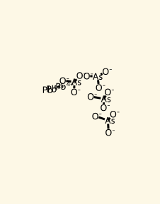 [O-][As]([O-])[O-].[O-][As]([O-])[O-].[O-][As]([O-])[O-].[O-][As]([O-])[O-].[Pb+4].[Pb+4].[Pb+4]